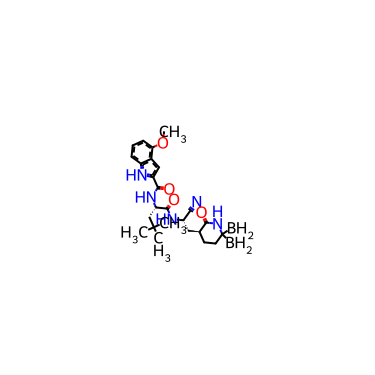 BC1(B)CC[C@@H](C[C@@H](C#N)NC(=O)[C@H](CC(C)(C)C)NC(=O)c2cc3c(OC)cccc3[nH]2)C(=O)N1